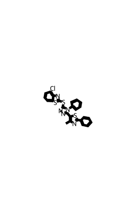 Cc1nc(-c2ccccc2)sc1-c1nnc(Sc2nc3c(Cl)cccc3s2)n1-c1ccccc1